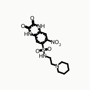 O=c1[nH]c2cc([N+](=O)[O-])c(S(=O)(=O)NCCN3CCCCC3)cc2[nH]c1=O